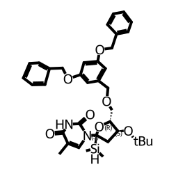 Cc1cn([C@@]2([SiH](C)C)C[C@H](OC(C)(C)C)[C@@H](COCc3cc(OCc4ccccc4)cc(OCc4ccccc4)c3)O2)c(=O)[nH]c1=O